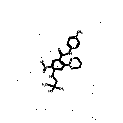 Cc1ccc(NC(=O)c2cc([N+](=O)[O-])c(NCC(C)(C)O)cc2N2CCOCC2)cc1